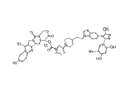 CCc1c2c(nc3ccc(O)cc13)-c1cc3c(c(=O)n1C2)COC(=O)[C@@]3(CC)OC(=O)N(C)CC(=O)N1CCC(CCn2ccc3cc(-n4c(O)nnc4-c4cc(C(C)C)c(O)cc4O)ccc32)CC1